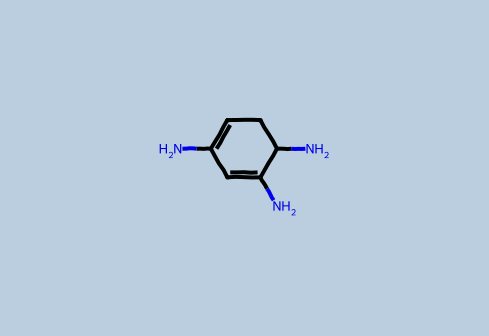 NC1=CCC(N)C(N)=C1